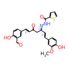 COc1cc(/C=C/C(CC(=O)/C=C/c2ccc(O)c(C=O)c2)=N\NC(=O)c2cccs2)ccc1O